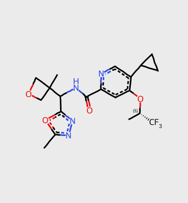 Cc1nnc(C(NC(=O)c2cc(O[C@@H](C)C(F)(F)F)c(C3CC3)cn2)C2(C)COC2)o1